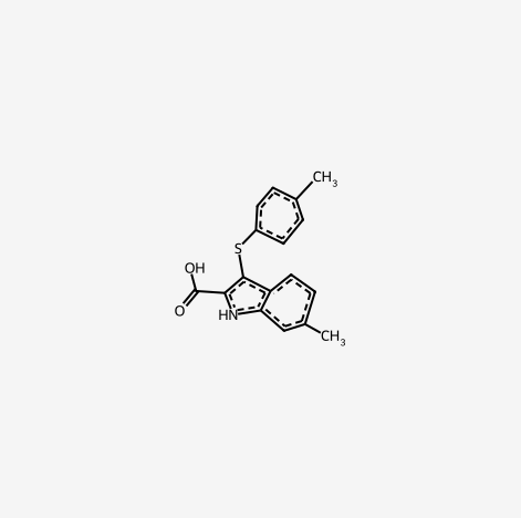 Cc1ccc(Sc2c(C(=O)O)[nH]c3cc(C)ccc23)cc1